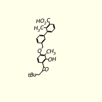 Cc1c(C(=O)O)cccc1-c1cccc(COc2ccc(C3OC3CC(C)(C)C)c(O)c2C)c1